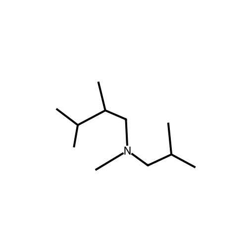 CC(C)CN(C)CC(C)C(C)C